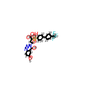 COc1ccc2nnn(CCC(C(=O)O)S(=O)(=O)c3ccc(-c4ccc(C(F)(F)F)cc4)cc3)c(=O)c2c1